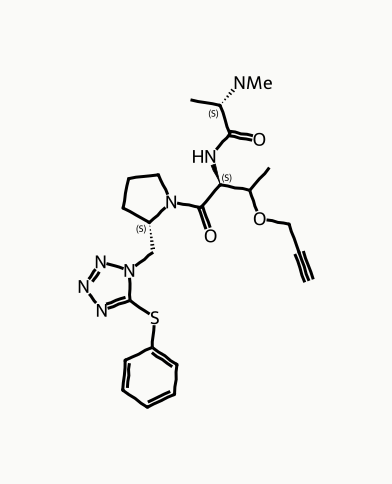 C#CCOC(C)[C@H](NC(=O)[C@H](C)NC)C(=O)N1CCC[C@H]1Cn1nnnc1Sc1ccccc1